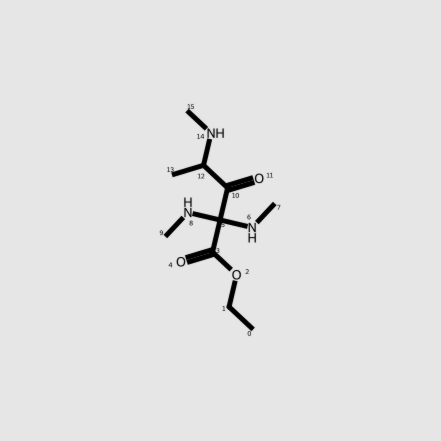 CCOC(=O)C(NC)(NC)C(=O)C(C)NC